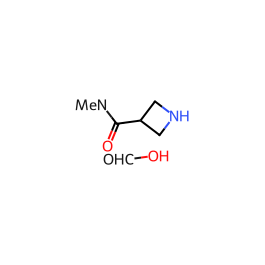 CNC(=O)C1CNC1.O=CO